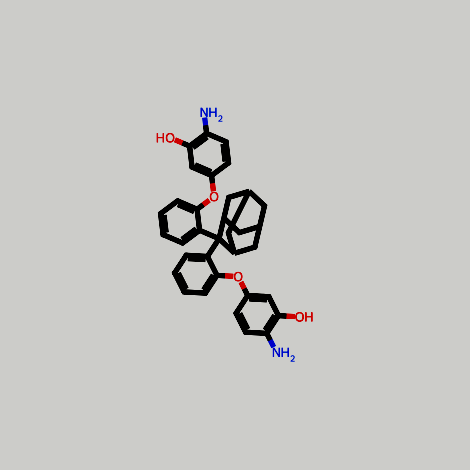 Nc1ccc(Oc2ccccc2C2(c3ccccc3Oc3ccc(N)c(O)c3)C3CC4CC(C3)CC2C4)cc1O